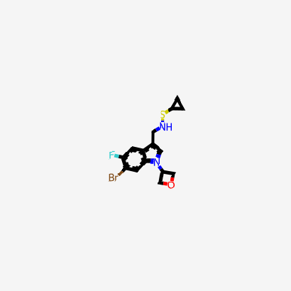 Fc1cc2c(CNSC3CC3)cn(C3COC3)c2cc1Br